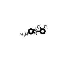 Nc1ccc2sc(-c3cccc(Cl)c3Cl)nc2c1